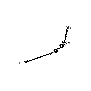 CCCCCCCCCCCCCCCCCCCCCCOc1ccc(C=Cc2ccc(S(=O)(=O)C(O)CCCCCCCCCCC)cc2)cc1